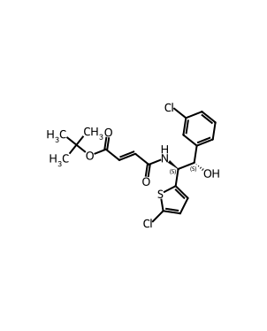 CC(C)(C)OC(=O)C=CC(=O)N[C@H](c1ccc(Cl)s1)[C@@H](O)c1cccc(Cl)c1